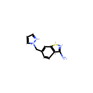 Nc1nsc2cc(Cn3cccn3)ccc12